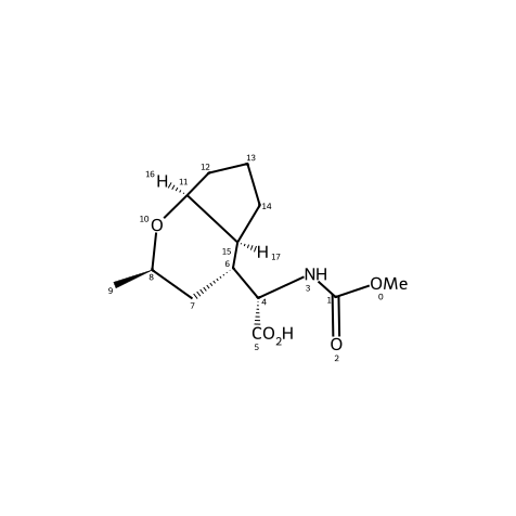 COC(=O)N[C@H](C(=O)O)[C@@H]1C[C@@H](C)O[C@H]2CCC[C@@H]12